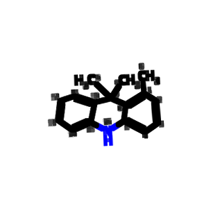 Cc1cccc2c1C(C)(C)c1ccccc1N2